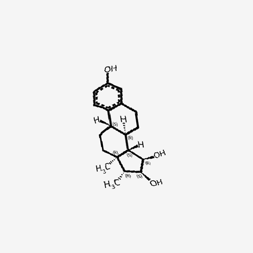 C[C@H]1[C@H](O)[C@H](O)[C@H]2[C@@H]3CCc4cc(O)ccc4[C@H]3CC[C@@]21C